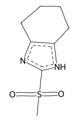 CS(=O)(=O)c1nc2c([nH]1)CCCC2